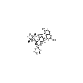 C#Cc1c(F)ccc2cc(O)cc(-c3ncc4c(N5C[C@H]6CC[C@@H](C5)O6)nc(N5CCOCC5)nc4c3F)c12